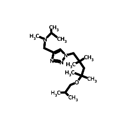 CC(C)COC(C)(C)CC(C)(C)Cn1cc(CN(C)C(C)C)nn1